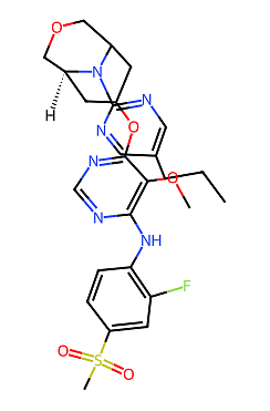 CCCc1cnc(N2C3COC[C@@H]2CC(Oc2ncnc(Nc4ccc(S(C)(=O)=O)cc4F)c2OC)C3)nc1